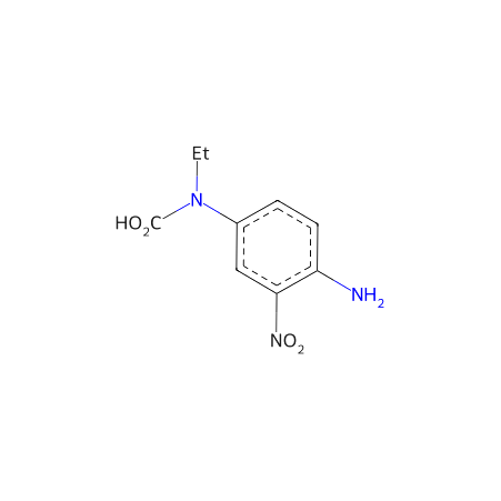 CCN(C(=O)O)c1ccc(N)c([N+](=O)[O-])c1